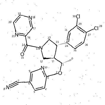 C[C@H](Oc1ccc(C#N)cn1)[C@H]1CN(C(=O)c2cnccn2)C[C@@H]1c1ccc(Cl)c(Cl)c1